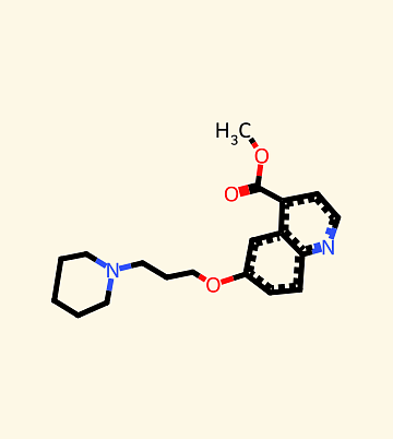 COC(=O)c1ccnc2ccc(OCCCN3CCCCC3)cc12